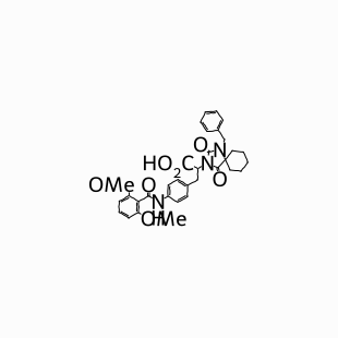 COc1cccc(OC)c1C(=O)Nc1ccc(CC(C(=O)O)N2C(=O)N(Cc3ccccc3)C3(CCCCC3)C2=O)cc1